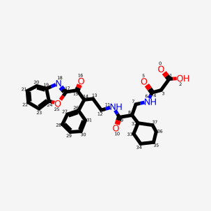 O=C(O)CC(=O)NCC(C(=O)NCCC(C(=O)c1nc2ccccc2o1)c1ccccc1)C1CCCCC1